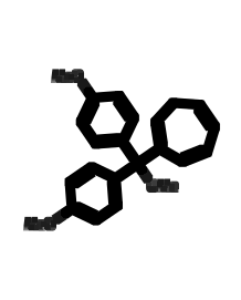 COc1ccc(C(OC)(C2=CCC=CC=C2)c2ccc(OC)cc2)cc1